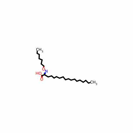 CCCCCCCCCCCCCCCCC(=NOCCCCCCC)C(=O)O